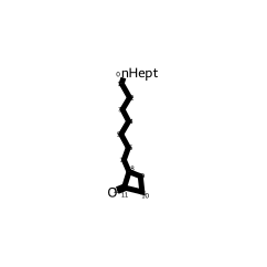 CCCCCCCCCCCCCCC1CCC1=O